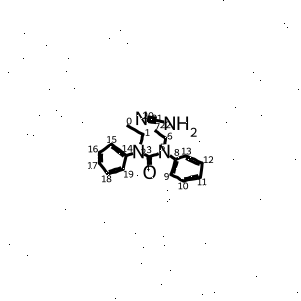 CCN(C(=O)N(CC)c1ccccc1)c1ccccc1.N#CN